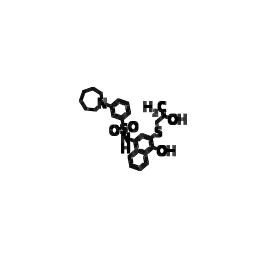 C=C(O)CSc1cc(NS(=O)(=O)c2cccc(N3CCCCCC3)c2)c2ccccc2c1O